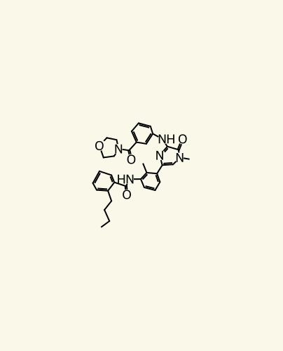 CCCCc1ccccc1C(=O)Nc1cccc(-c2cn(C)c(=O)c(Nc3cccc(C(=O)N4CCOCC4)c3)n2)c1C